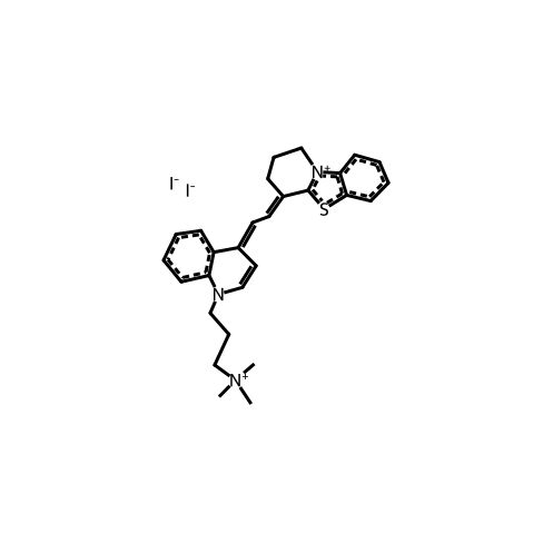 C[N+](C)(C)CCCN1C=CC(=CC=C2CCC[n+]3c2sc2ccccc23)c2ccccc21.[I-].[I-]